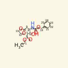 CCOC(=O)CC(O)C(CC1OCCO1)NC(=O)OCc1ccccc1